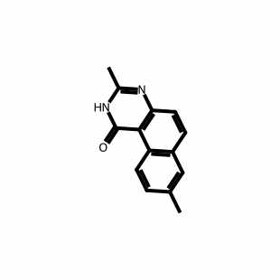 Cc1ccc2c(ccc3nc(C)[nH]c(=O)c32)c1